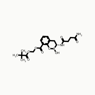 CC(C)(C)C(=O)OCOC(=O)c1cccc2c1OB(O)[C@@H](NC(=O)CCC(N)=O)C2